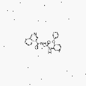 O=C(CNC(=O)c1cncc2ccccc12)Nc1ccccc1Oc1ccccc1